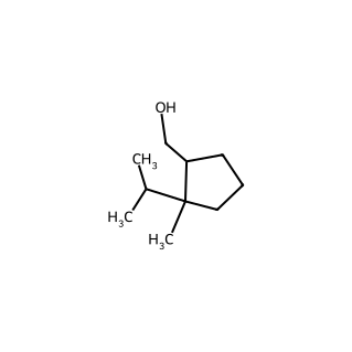 CC(C)C1(C)CCCC1CO